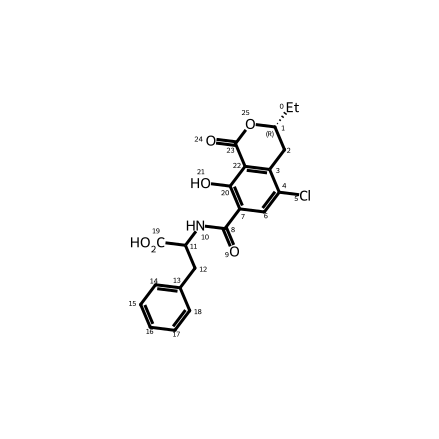 CC[C@@H]1Cc2c(Cl)cc(C(=O)NC(Cc3ccccc3)C(=O)O)c(O)c2C(=O)O1